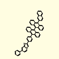 c1ccc(-c2ccn3cc(-c4ccc(-c5c6ccccc6c(-c6c7ccccc7c(-c7ccc8ccccc8c7)c7ccccc67)c6ccccc56)cc4)nc3c2)cc1